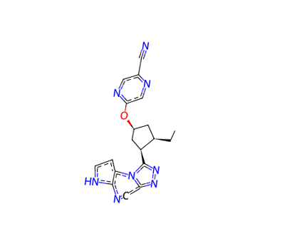 CC[C@@H]1C[C@H](Oc2cnc(C#N)cn2)C[C@@H]1c1nnc2cnc3[nH]ccc3n12